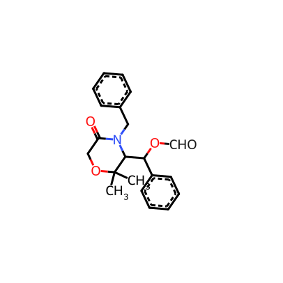 CC1(C)OCC(=O)N(Cc2ccccc2)C1C(OC=O)c1ccccc1